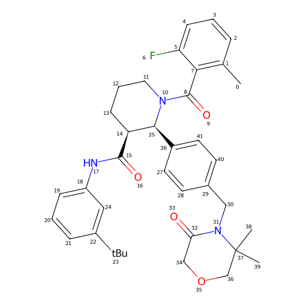 Cc1cccc(F)c1C(=O)N1CCC[C@H](C(=O)Nc2cccc(C(C)(C)C)c2)[C@@H]1c1ccc(CN2C(=O)COCC2(C)C)cc1